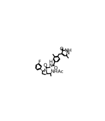 CC(=O)N[C@@H](C)[C@H]1CC[C@@H](c2cccc(F)c2)N1C(=O)[C@@H](C)NC(=O)c1ccc(Cc2cc(C)n[nH]c2=O)c(C)c1